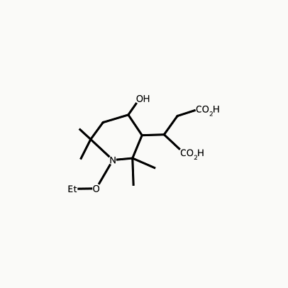 CCON1C(C)(C)CC(O)C(C(CC(=O)O)C(=O)O)C1(C)C